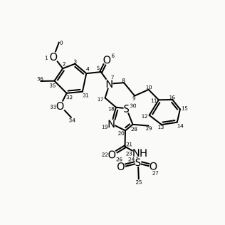 COc1cc(C(=O)N(CCCc2ccccc2)Cc2nc(C(=O)NS(C)(=O)=O)c(C)s2)cc(OC)c1C